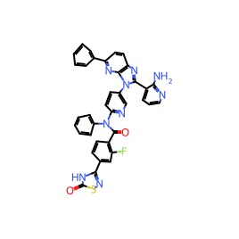 Nc1ncccc1-c1nc2ccc(-c3ccccc3)nc2n1-c1ccc(N(C(=O)c2ccc(-c3nsc(=O)[nH]3)cc2F)c2ccccc2)nc1